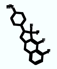 CCCC1CCC(C2CC3Cc4cccc(F)c4C(F)=C3C2(F)F)CC1